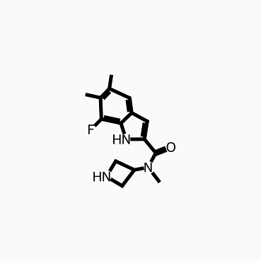 Cc1cc2cc(C(=O)N(C)C3CNC3)[nH]c2c(F)c1C